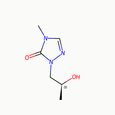 C[C@H](O)Cn1ncn(C)c1=O